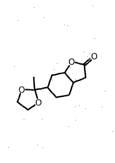 CC1(C2CCC3CC(=O)OC3C2)OCCO1